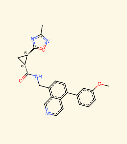 COc1cccc(-c2ccc(CNC(=O)[C@@H]3C[C@H]3c3nc(C)no3)c3cnccc23)c1